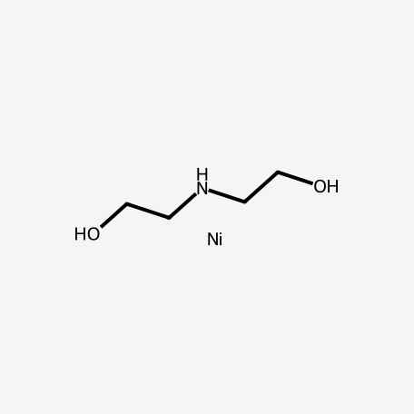 OCCNCCO.[Ni]